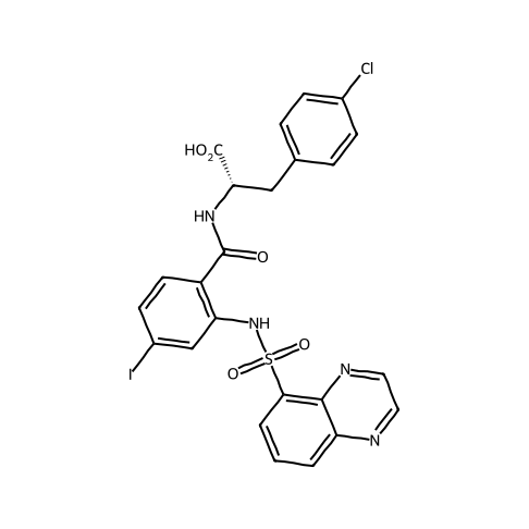 O=C(N[C@@H](Cc1ccc(Cl)cc1)C(=O)O)c1ccc(I)cc1NS(=O)(=O)c1cccc2nccnc12